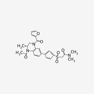 CC(=O)N1c2ccc(-c3ccc(S(=O)(=O)CC(=O)N(C)C)cc3)cc2N(C(=O)c2ccco2)C[C@@H]1C